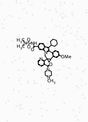 COc1ccc2c(c1)C1CC1(c1ncccc1C(=O)N1CCN(C)CC1)Cn1c-2c(C2CCCCC2)c2ccc(C(=O)NS(=O)(=O)N(C)C)cc21